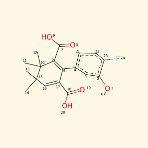 COc1cc(C2=C(C(=O)O)C(C)(C)C(C)(C)C=C2C(=O)O)ccc1F